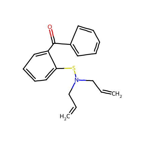 C=CCN(CC=C)Sc1ccccc1C(=O)c1ccccc1